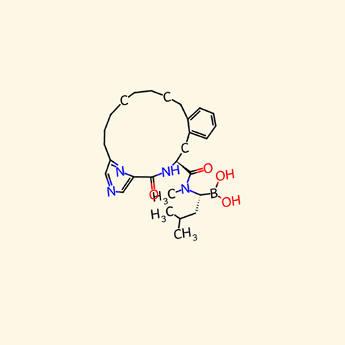 CC(C)C[C@@H](B(O)O)N(C)C(=O)[C@@H]1Cc2ccccc2CCCCCCCCc2cncc(n2)C(=O)N1